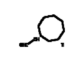 C1CCCCCCC1.O=CO.[Ti]